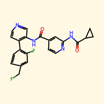 O=C(Nc1cnccc1-c1ccc(CF)cc1F)c1ccnc(NC(=O)C2CC2)c1